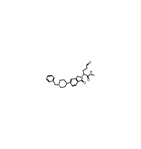 CNC(=O)C(CCC=O)N1Cc2cc(C3CCN(Cc4ccccc4)CC3)ccc2C1=O